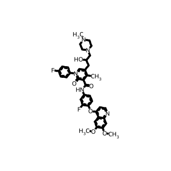 COc1cc2nccc(Oc3ccc(NC(=O)c4c(C)c(CC(O)CN5CCN(C)CC5)cn(-c5ccc(F)cc5)c4=O)cc3F)c2cc1OC